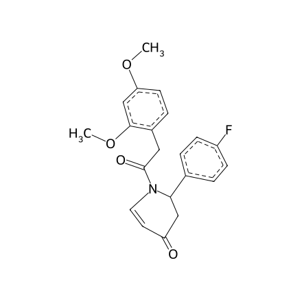 COc1ccc(CC(=O)N2C=CC(=O)CC2c2ccc(F)cc2)c(OC)c1